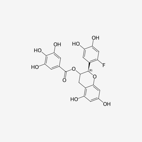 O=C(OC1Cc2c(O)cc(O)cc2O[C@@H]1c1cc(O)c(O)cc1F)c1cc(O)c(O)c(O)c1